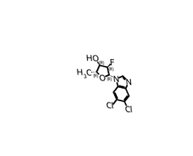 C[C@H]1O[C@@H](n2cnc3cc(Cl)c(Cl)cc32)[C@H](F)[C@@H]1O